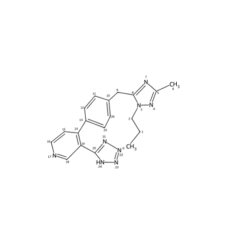 CCCn1nc(C)nc1Cc1ccc(-c2ccncc2-c2nnn[nH]2)cc1